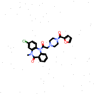 CN1C(=O)c2ccccc2N(C(=O)CN2CCN(C(=O)c3ccco3)CC2)c2ccc(Cl)cc21